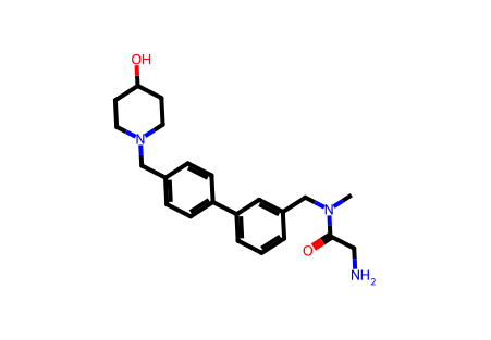 CN(Cc1cccc(-c2ccc(CN3CCC(O)CC3)cc2)c1)C(=O)CN